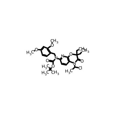 CCC1(CC)Oc2nc(N(Cc3ccc(OC)cc3OC)C(=O)OC(C)(C)C)ccc2N(C(C)Cl)C1=O